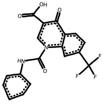 O=C(O)c1cn(C(=O)Nc2ccccc2)c2cc(C(F)(F)F)ccc2c1=O